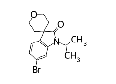 CC(C)N1C(=O)C2(CCOCC2)c2ccc(Br)cc21